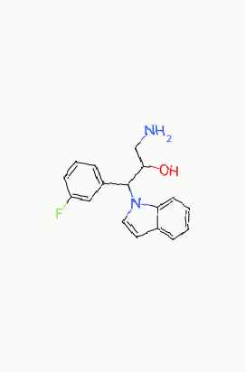 NCC(O)C(c1cccc(F)c1)n1ccc2ccccc21